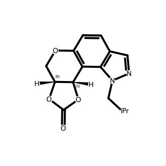 CC(C)Cn1ncc2ccc3c(c21)[C@@H]1OC(=O)O[C@@H]1CO3